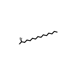 [CH2]C(Br)CCCCCCCCCCCCC